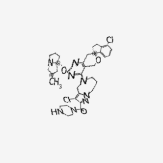 C[C@H]1CN2CCC[C@@]2(COc2nc3c(c(N4CCCn5nc(C(=O)N6CCNCC6)c(Cl)c5C4)n2)CO[C@@]2(CCc4c(Cl)cccc42)C3)C1